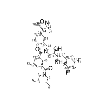 CCCN(CCC)C(=O)c1cc(C)cc(C(=O)N(Cc2cccc(-c3c(C)noc3C)c2)C[C@@H](O)[C@@H](N)Cc2cc(F)cc(F)c2)c1